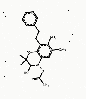 COc1cc2c(c(CCc3ccccc3)c1[N+](=O)[O-])OC(C)(C)[C@H](O)[C@H]2OC(N)=O